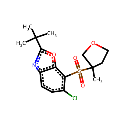 CC(C)(C)c1nc2ccc(Cl)c(S(=O)(=O)C3(C)CCOC3)c2o1